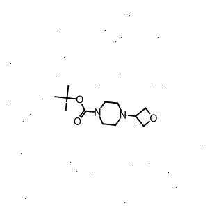 CC(C)(C)OC(=O)N1CCN(C2COC2)CC1